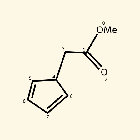 COC(=O)CC1C=CC=C1